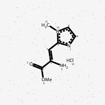 COC(=O)/C(N)=C/c1nccn1C.Cl